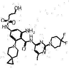 Cc1cc(NC(=O)c2c(N)cc(NS(=O)(=O)CCO)cc2N2CCC3(CC2)CC3)nc(N2CCC(F)(F)CC2)n1